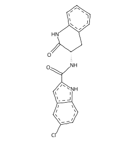 O=C(N[C@H]1Cc2ccccc2NC1=O)c1cc2cc(Cl)ccc2[nH]1